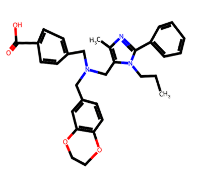 CCCn1c(-c2ccccc2)nc(C)c1CN(Cc1ccc(C(=O)O)cc1)Cc1ccc2c(c1)OCCO2